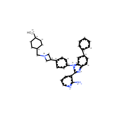 Nc1ncccc1-c1nc2ccc(-c3ccccc3)cc2n1-c1ccc(C2CN(CC3CCC(C(=O)O)CC3)C2)cc1